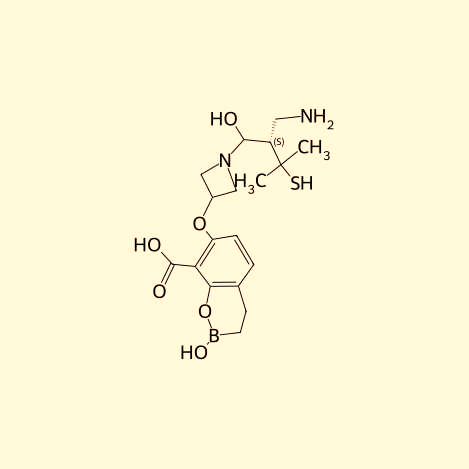 CC(C)(S)[C@@H](CN)C(O)N1CC(Oc2ccc3c(c2C(=O)O)OB(O)CC3)C1